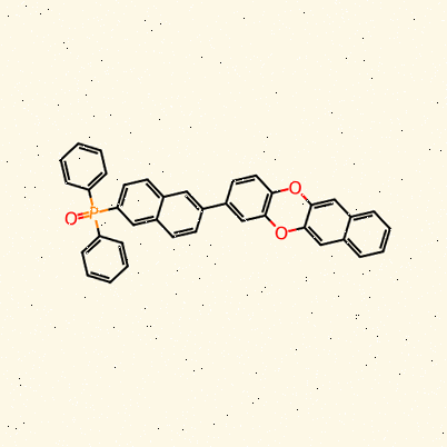 O=P(c1ccccc1)(c1ccccc1)c1ccc2cc(-c3ccc4c(c3)Oc3cc5ccccc5cc3O4)ccc2c1